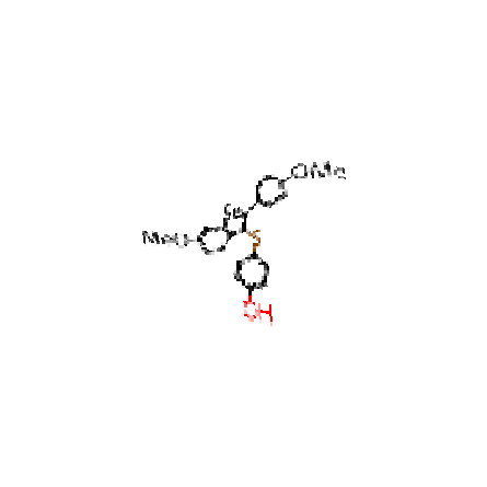 COc1ccc(-c2[se]c3cc(OC)ccc3c2Sc2ccc(O)cc2)cc1